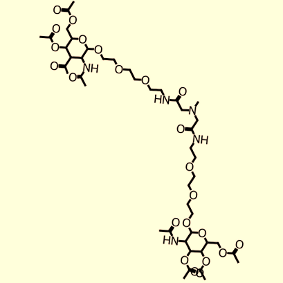 CC(=O)NC1C(OCCOCCOCCNC(=O)CN(C)CC(=O)NCCOCCOCCOC2OC(COC(C)=O)C(OC(C)=O)C(C(C)=O)C2NC(C)=O)OC(COC(C)=O)C(OC(C)=O)C1OC(C)=O